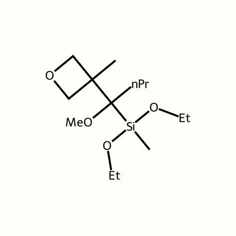 CCCC(OC)(C1(C)COC1)[Si](C)(OCC)OCC